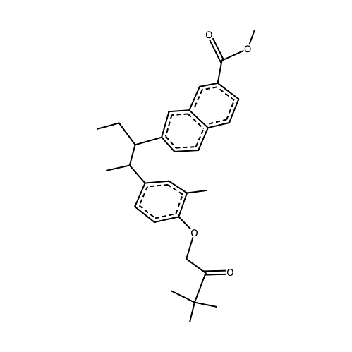 CCC(c1ccc2ccc(C(=O)OC)cc2c1)C(C)c1ccc(OCC(=O)C(C)(C)C)c(C)c1